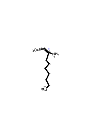 CCCCCCCC/C=C(/N)CCCCCCC(C)CC